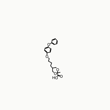 CC1(C(=O)O)OCC(CCCCOc2ccc(Oc3ccccc3)cc2)CO1